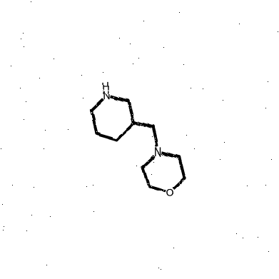 C1CNCC(CN2CCOCC2)C1